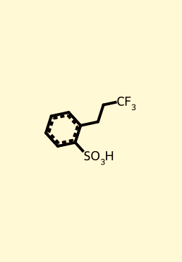 O=S(=O)(O)c1ccccc1CCC(F)(F)F